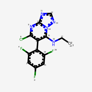 Fc1cc(F)c(-c2c(Cl)nc3ncnn3c2NCC(F)(F)F)c(F)c1